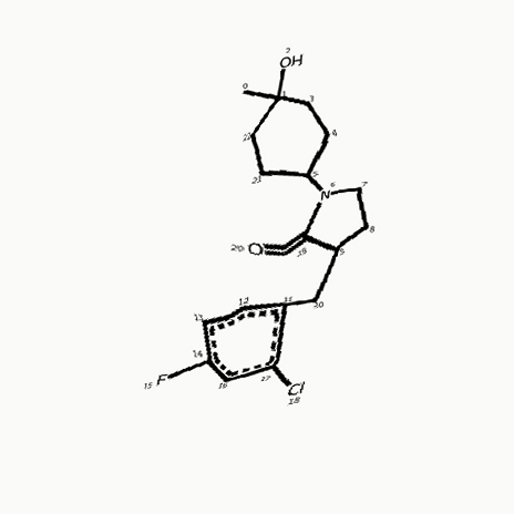 CC1(O)CCC(N2CCC(Cc3ccc(F)cc3Cl)C2=O)CC1